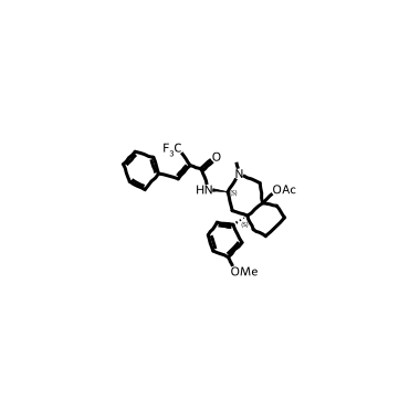 COc1cccc([C@@]23CCCCC2(OC(C)=O)CN(C)[C@H](NC(=O)C(=Cc2ccccc2)C(F)(F)F)C3)c1